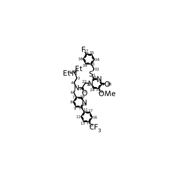 CCN(CC)CCN(Cc1ccc(-c2ccc(C(F)(F)F)cc2)nc1)C(=O)Cn1cc(OC)c(=O)nc1SCc1ccc(F)cc1